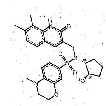 Cc1ccc2cc(CN([C@@H]3CCC[C@H]3O)S(=O)(=O)c3ccc4c(c3)OCCN4C)c(=O)[nH]c2c1C